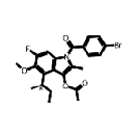 CC[C@@H](C)c1c(OC)c(F)cc2c1c(OC(C)=O)c(C)n2C(=O)c1ccc(Br)cc1